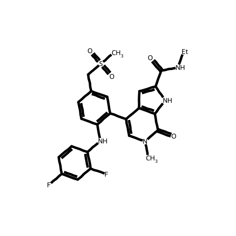 CCNC(=O)c1cc2c(-c3cc(CS(C)(=O)=O)ccc3Nc3ccc(F)cc3F)cn(C)c(=O)c2[nH]1